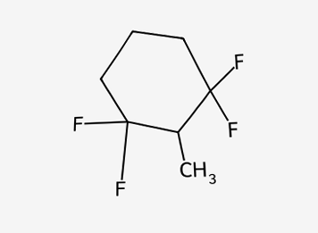 CC1C(F)(F)CCCC1(F)F